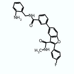 CNC(=O)c1c(-c2ccc(F)cc2)oc2ccc(-c3cccc(C(=O)NCc4ccccc4N)c3)cc12